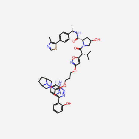 Cc1ncsc1-c1ccc([C@H](C)NC(=O)[C@@H]2C[C@@H](O)CN2C(=O)[C@@H](c2cc(OCCCOc3cc(N4C5CCC4CN(c4cc(-c6ccccc6O)nnc4N)C5)ccn3)no2)C(C)C)cc1